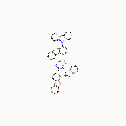 CC(/N=C(\NC(N)c1ccccc1)c1ccc2c(c1)oc1ccccc12)c1cccc2oc3c(-n4c5ccccc5c5ccccc54)cccc3c12